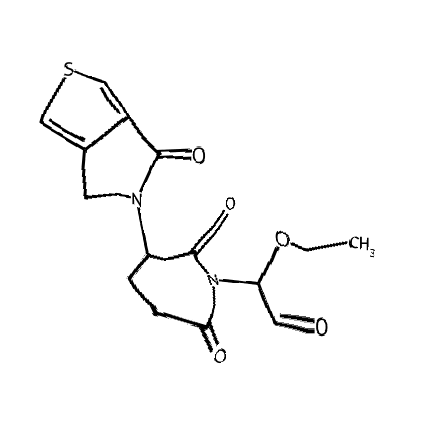 COC(C=O)N1C(=O)CCC(N2Cc3cscc3C2=O)C1=O